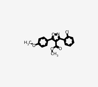 COC(=O)c1c(-c2ccccc2Cl)noc1-c1ccc(OC)cc1